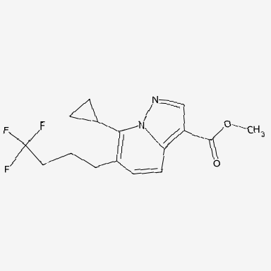 COC(=O)c1cnn2c(C3CC3)c(CCCC(F)(F)F)ccc12